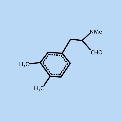 CNC(C=O)Cc1ccc(C)c(C)c1